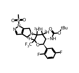 [2H]C1([2H])[C@H](NC(=O)OC(C)(C)C)[C@@H](c2cc(F)ccc2F)OC([2H])(C(F)(F)F)C1([2H])N1Cc2cnn(S(C)(=O)=O)c2C1